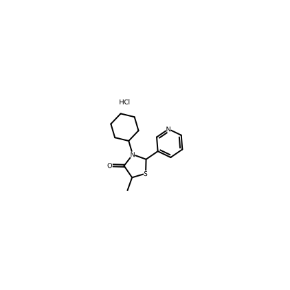 CC1SC(c2cccnc2)N(C2CCCCC2)C1=O.Cl